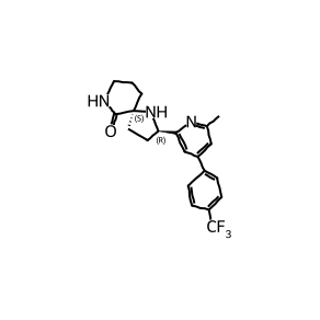 Cc1cc(-c2ccc(C(F)(F)F)cc2)cc([C@H]2CC[C@]3(CCCNC3=O)N2)n1